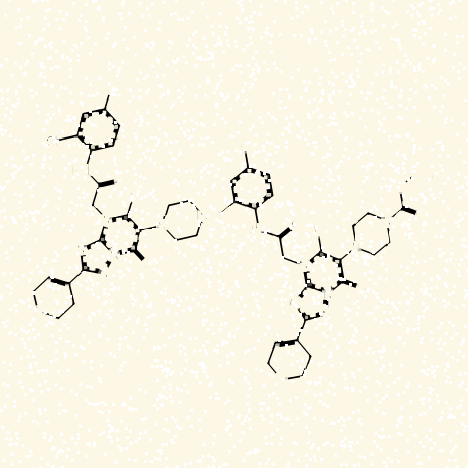 CCc1c(N2CCN(C(=O)OC(C)(C)C)CC2)c(=O)n2nc(C3=CCOCC3)nc2n1CC(=O)Nc1ccc(C(F)(F)F)cc1Cl.CCc1c(N2CCNCC2)c(=O)n2nc(C3=CCOCC3)nc2n1CC(=O)Nc1ccc(C(F)(F)F)cc1Cl